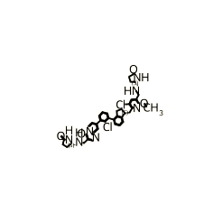 COc1nc(C[C@@H]2CCc3c(-c4cccc(-c5ccn6c(=O)c(CNC[C@@H]7CCC(=O)N7)cnc6c5)c4Cl)cccc32)c(Cl)cc1CNC[C@@H]1CCC(=O)N1